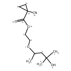 CC(CC(C)(C)O)OCCOC(=O)C1(C#N)CC1